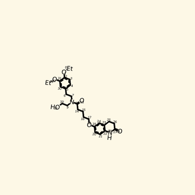 CCOc1ccc(CCN(CCO)C(=O)CCCCOc2ccc3c(c2)CCC(=O)N3)cc1OCC